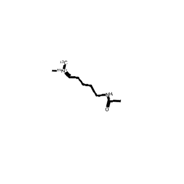 CC(=O)NCCCC/C=[15N+](/C)[13CH3]